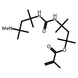 C=C(C)C(=O)OC(C)(C)CC(C)(C)NC(=O)NC(C)(C)CC(C)(C)NC